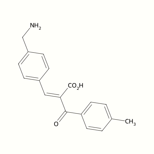 Cc1ccc(C(=O)/C(=C/c2ccc(CN)cc2)C(=O)O)cc1